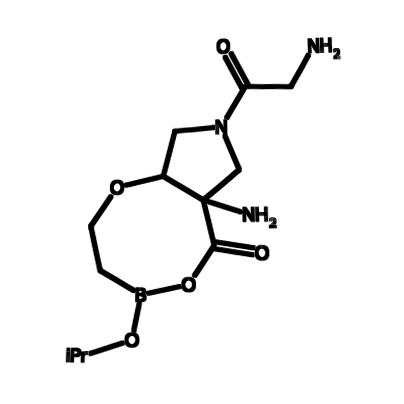 CC(C)OB1CCOC2CN(C(=O)CN)CC2(N)C(=O)O1